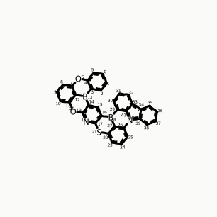 c1ccc2c(c1)Oc1cccc3c1B2c1cc2c(nc1O3)Sc1cccc3c1B2c1cccc2c4ccccc4n-3c12